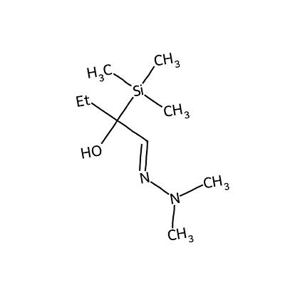 CCC(O)(C=NN(C)C)[Si](C)(C)C